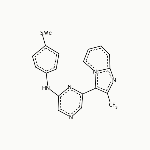 CSc1ccc(Nc2cncc(-c3c(C(F)(F)F)nc4ccccn34)n2)cc1